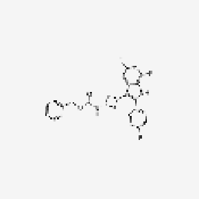 O=C(N[C@H]1C[C@H](c2c(-c3ccc(F)cc3)[nH]c3c(F)cc(F)cc32)C1)OCc1ccccc1